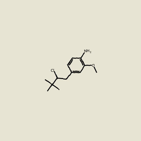 COc1cc(CC(Cl)C(C)(C)C)ccc1N